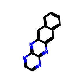 c1ccc2cc3nc4nccnc4nc3cc2c1